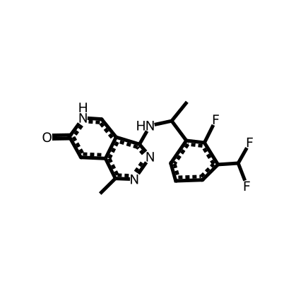 Cc1nnc(NC(C)c2cccc(C(F)F)c2F)c2c[nH]c(=O)cc12